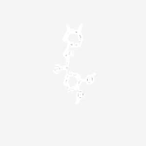 COc1ccc(C(=O)/C=C/c2ccc(C)c(C)c2)cc1OC